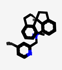 Cc1cccc2c1[C@@]1(CC2)CCc2cccc(NCc3cc(C(C)(C)C)ccn3)c21